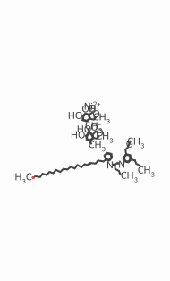 CCCCCCCCCCCCCCCCCC=CCCCc1ccccc1N=C(C=Nc1cc(CCCC)cc(CCCC)c1)CCCC.CCc1c(C)cc(O)c(O)c1C(=O)[O-].CCc1c(C)cc(O)c(O)c1C(=O)[O-].[Ni+2]